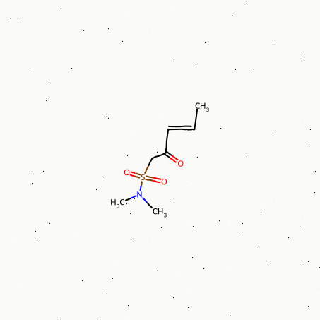 CC=CC(=O)CS(=O)(=O)N(C)C